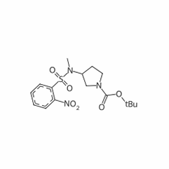 CN(C1CCN(C(=O)OC(C)(C)C)C1)S(=O)(=O)c1ccccc1[N+](=O)[O-]